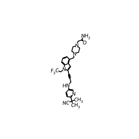 CC(C)(C#N)c1ccc(NCC#Cc2cc3c(CN4CCN(CC(N)=O)CC4)cccc3n2CC(F)(F)F)cn1